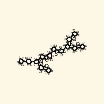 c1ccc(-c2ccc(-c3cc4c5ccc6c7ccccc7oc6c5n5c4c(c3)c3ccc4c6cc(-c7cccc8c7sc7ccc(-c9cc%10c%11ccc%12c%13ccccc%13oc%12c%11n%11c%10c(c9)c9ccc%10c%12ccccc%12oc%10c9%11)cc78)ccc6oc4c35)cc2)cc1